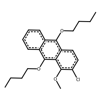 CCCCOc1c2ccccc2c(OCCCC)c2c(OC)c(Cl)ccc12